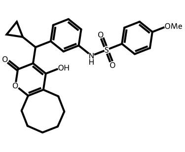 COc1ccc(S(=O)(=O)Nc2cccc(C(c3c(O)c4c(oc3=O)CCCCCC4)C3CC3)c2)cc1